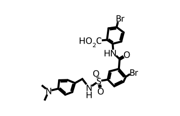 CN(C)c1ccc(CNS(=O)(=O)c2ccc(Br)c(C(=O)Nc3ccc(Br)cc3C(=O)O)c2)cc1